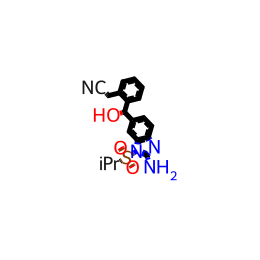 CC(C)S(=O)(=O)n1c(N)nc2ccc(C(O)c3ccccc3CC#N)cc21